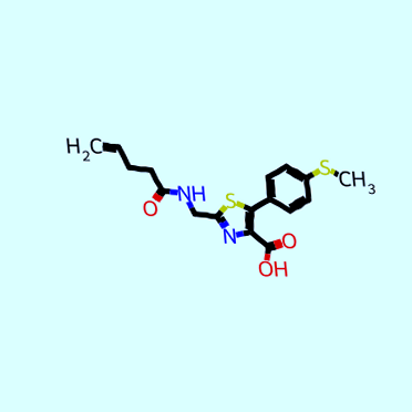 C=CCCC(=O)NCc1nc(C(=O)O)c(-c2ccc(SC)cc2)s1